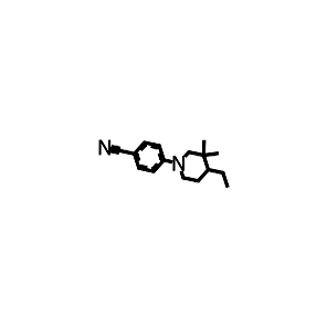 CCC1CCN(c2ccc(C#N)cc2)CC1(C)C